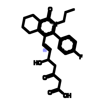 CCCn1c(-c2ccc(F)cc2)c(/C=C/C(O)CC(=O)CC(=O)O)c2c(c1=O)CCCC2